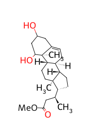 COC(=O)C[C@H](C)[C@H]1CC[C@H]2[C@@H]3CC=C4CC(O)CC(O)[C@]4(C)[C@H]3CC[C@]12C